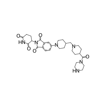 O=C1CCC(N2C(=O)c3ccc(N4CCC(CN5CCC(C(=O)N6CCNCC6)CC5)CC4)cc3C2=O)C(=O)N1